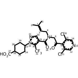 CC(C)=CCN(CC(=O)c1c(Cl)cncc1Cl)C(=O)c1cnn(C2CCC(C(=O)O)CC2)c1C(F)(F)F